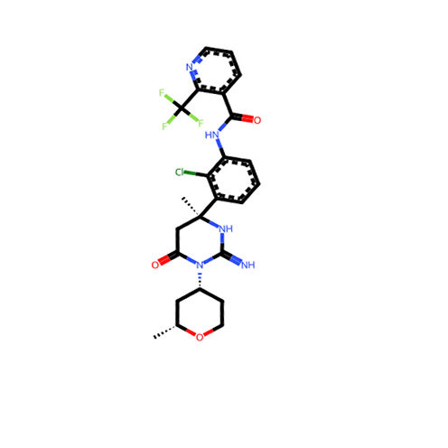 C[C@@H]1C[C@H](N2C(=N)N[C@](C)(c3cccc(NC(=O)c4cccnc4C(F)(F)F)c3Cl)CC2=O)CCO1